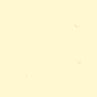 Nc1cc(C2CCC(=O)NC2=O)cc2c1C(=O)NC2=O